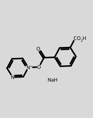 O=C(O)c1cccc(C(=O)O[n+]2cccnc2)c1.[NaH]